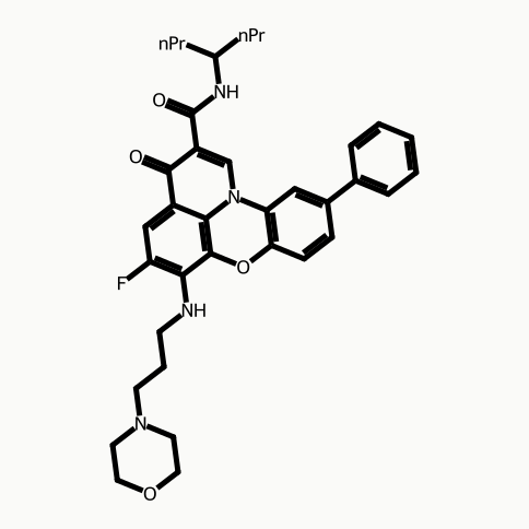 CCCC(CCC)NC(=O)c1cn2c3c(c(NCCCN4CCOCC4)c(F)cc3c1=O)Oc1ccc(-c3ccccc3)cc1-2